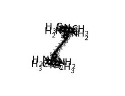 Cc1cc2nc3cc(C)c(N)cc3[n+](-c3ccc(CCCCCCCCc4ccc(-[n+]5c6cc(N)c(C)cc6nc6cc(C)c(N)cc65)cc4)cc3)c2cc1N